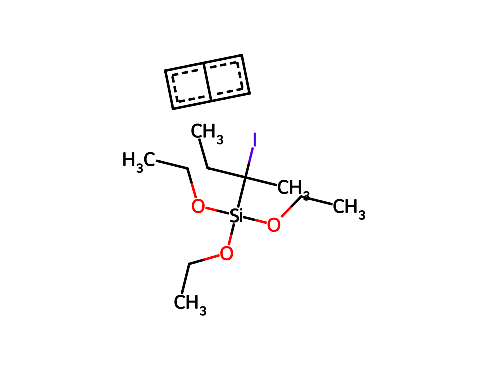 CCO[Si](OCC)(OCC)C(C)(I)CC.c1cc2ccc1-2